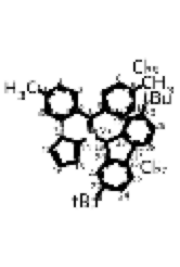 Cc1ccc([C](c2ccc(C)cc2)=[Ti+2]([C]2=CC=CC2)[CH]2c3cc(C(C)(C)C)ccc3-c3ccc(C(C)(C)C)cc32)cc1.[Cl-].[Cl-]